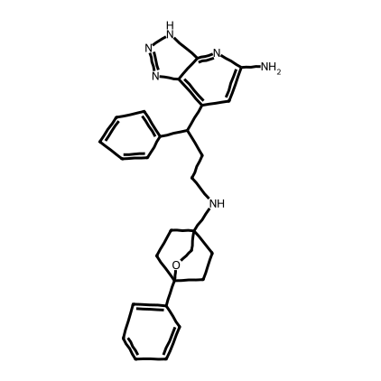 Nc1cc(C(CCNC23CCC(c4ccccc4)(CC2)OC3)c2ccccc2)c2nn[nH]c2n1